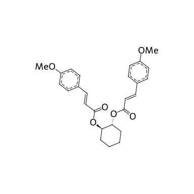 COc1ccc(/C=C/C(=O)O[C@@H]2CCCC[C@H]2OC(=O)/C=C/c2ccc(OC)cc2)cc1